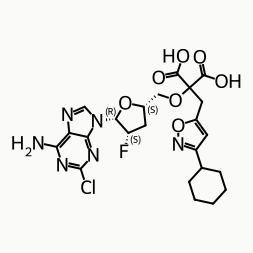 Nc1nc(Cl)nc2c1ncn2[C@@H]1O[C@H](COC(Cc2cc(C3CCCCC3)no2)(C(=O)O)C(=O)O)C[C@@H]1F